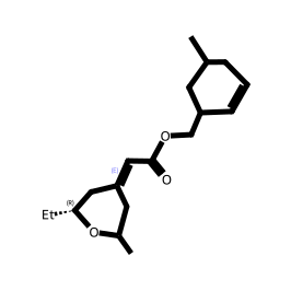 CC[C@@H]1C/C(=C/C(=O)OCC2C=CCC(C)C2)CC(C)O1